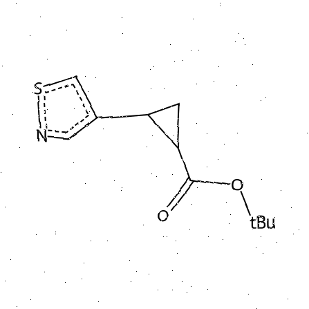 CC(C)(C)OC(=O)C1CC1c1cnsc1